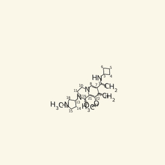 C=C(NC1CCC1)C1=CN2CCN(C3CCN(C)C3)C(=O)C2=C(OC)C1=C